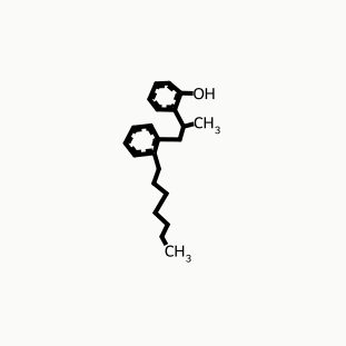 CCCCCCCc1ccccc1CC(C)c1ccccc1O